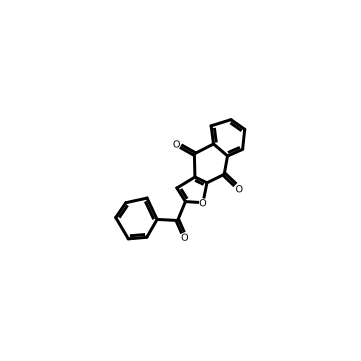 O=C(c1ccccc1)c1cc2c(o1)C(=O)c1ccccc1C2=O